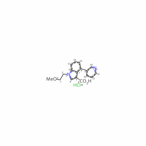 COCCn1cc(C(=O)O)c2c(-c3cccnc3)cccc21.Cl